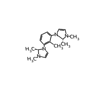 Cc1c(N2C=CN(C)[C@H]2C)cccc1N1C=CN(C)[C@@H]1C